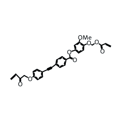 C=CC(=O)COc1ccc(C#Cc2ccc(C(=O)Oc3ccc(OCOC(=O)C=C)c(OC)c3)cc2)cc1